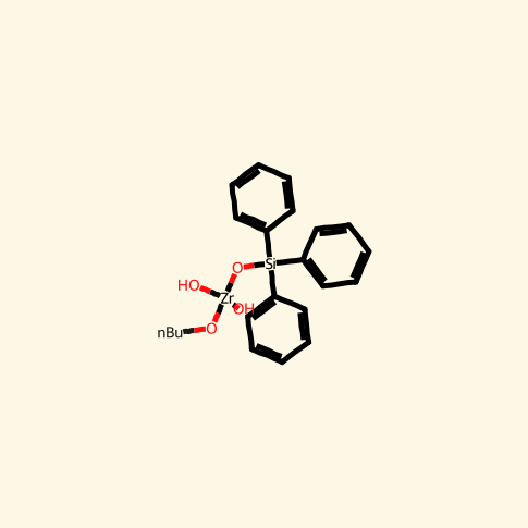 CCCC[O][Zr]([OH])([OH])[O][Si](c1ccccc1)(c1ccccc1)c1ccccc1